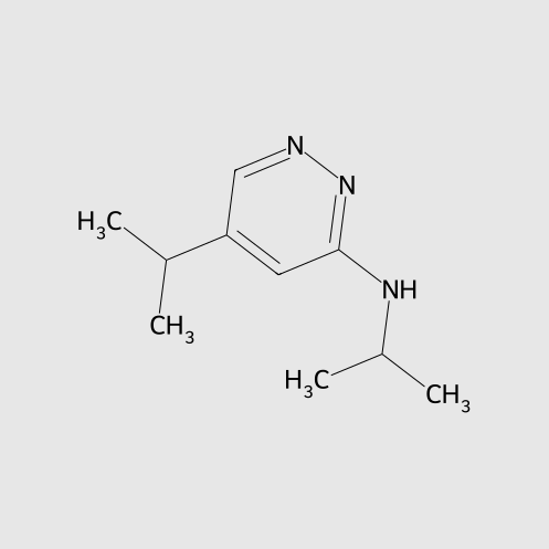 CC(C)Nc1cc(C(C)C)cnn1